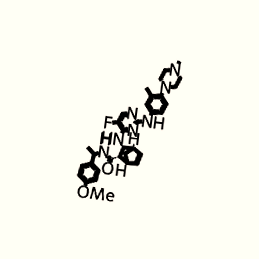 COc1ccc(C(C)NC(=O)[C@@H]2[C@H](Nc3nc(Nc4ccc(N5CCN(C)CC5)c(C)c4)ncc3F)[C@H]3C=C[C@@H]2C3)cc1